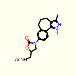 CC(=O)NCC1CN(c2ccc3c(c2)CCCc2c(C)n[nH]c2-3)C(=O)O1